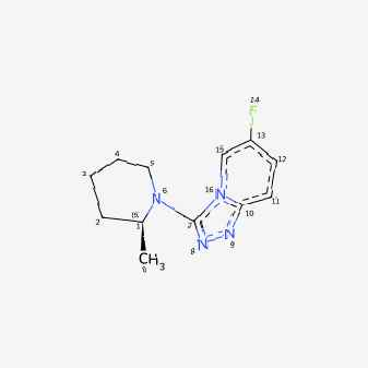 C[C@H]1CCCCN1c1nnc2ccc(F)cn12